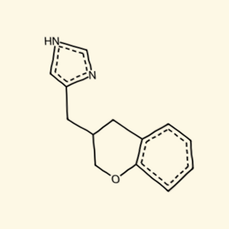 c1ccc2c(c1)CC(Cc1c[nH]cn1)CO2